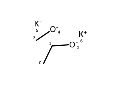 CC[O-].C[O-].[K+].[K+]